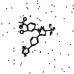 CS(=O)(=O)c1ccc(-n2nc(C(F)(F)F)cc2-c2ccc(-c3cscn3)cc2)cc1Cl